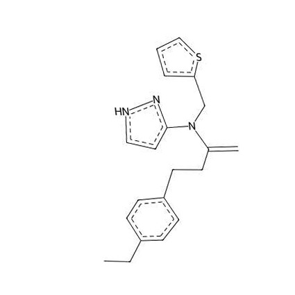 C=C(CCc1ccc(CC)cc1)N(Cc1cccs1)c1cc[nH]n1